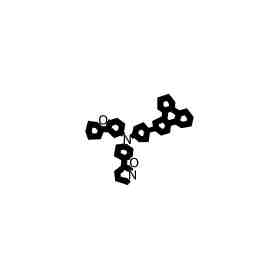 c1ccc2c(c1)oc1ccc(N(c3ccc(-c4ccc5c6ccccc6c6ccccc6c5c4)cc3)c3ccc4c(c3)oc3ncccc34)cc12